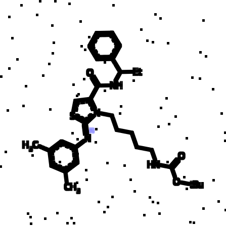 CCC(NC(=O)c1cs/c(=N\c2cc(C)cc(C)c2)n1CCCCCNC(=O)OC(C)(C)C)c1ccccc1